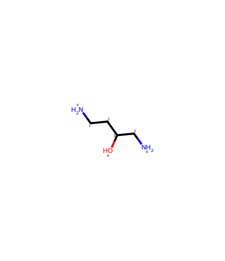 NCCC(O)CN